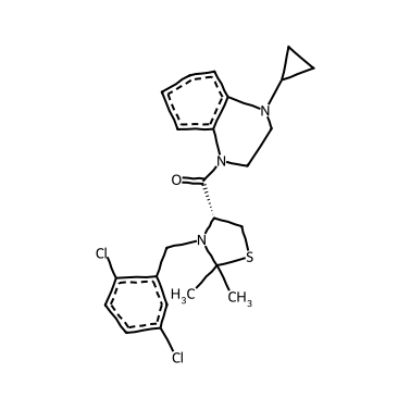 CC1(C)SC[C@@H](C(=O)N2CCN(C3CC3)c3ccccc32)N1Cc1cc(Cl)ccc1Cl